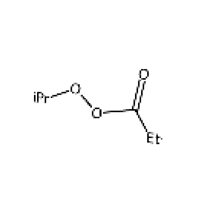 C[CH]C(=O)OOC(C)C